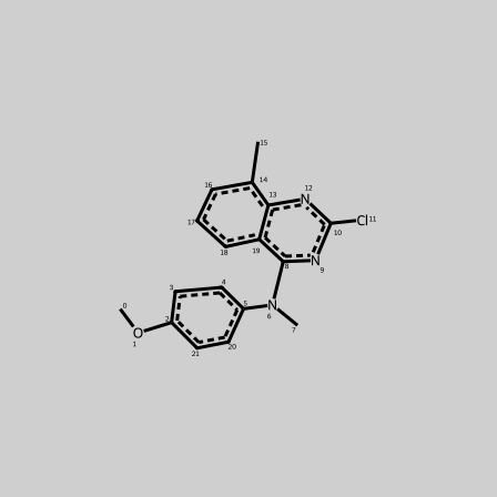 COc1ccc(N(C)c2nc(Cl)nc3c(C)cccc23)cc1